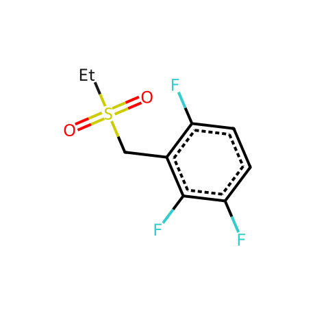 CCS(=O)(=O)Cc1c(F)ccc(F)c1F